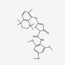 COc1cc(OC)c(NC(=O)C2OC(Oc3c(C)ccc4c3[Si](C)(C)CC[Si]4(C)C)=CC2=O)c(OC)c1